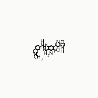 CN1CCc2ccc(Nc3ncc4c(N)c(F)c(-c5cnc6c(c5Cl)NCCO6)cc4n3)cc2C1